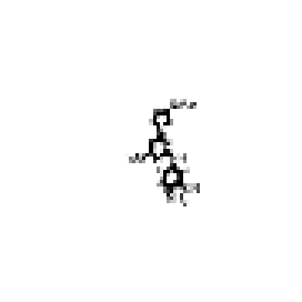 CCCCc1cc(N2CC[C@H](NC)C2)nc(Nc2ccc(N)c(C#N)c2)n1